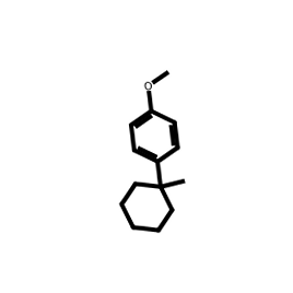 COc1ccc(C2(C)CCCCC2)cc1